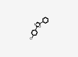 Clc1ccc(-c2ncc(-c3ccccc3)o2)cc1